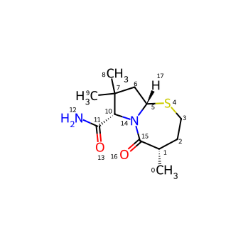 C[C@H]1CCS[C@H]2CC(C)(C)[C@@H](C(N)=O)N2C1=O